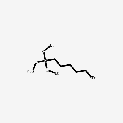 CCCCO[Si](CCCCCC(C)C)(OCC)OCC